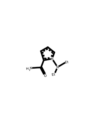 CCN(CC)n1cccc1C(N)=O